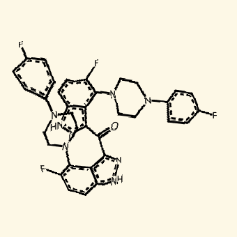 O=C(c1n[nH]c2ccc(F)c(N3CCN(c4ccc(F)cc4)CC3)c12)c1n[nH]c2ccc(F)c(N3CCN(c4ccc(F)cc4)CC3)c12